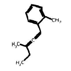 CCC(C)=C=Cc1ccccc1C